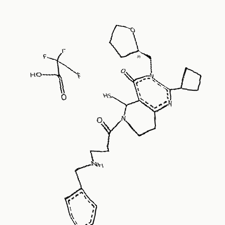 O=C(CCNCc1ccccc1)N1CCc2nc(C3CCC3)n(C[C@H]3CCCO3)c(=O)c2C1S.O=C(O)C(F)(F)F